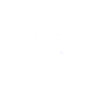 O=c1[se]c2ccccc2n1CCl